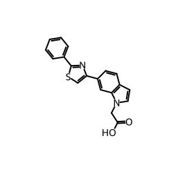 O=C(O)Cn1ccc2ccc(-c3csc(-c4ccccc4)n3)cc21